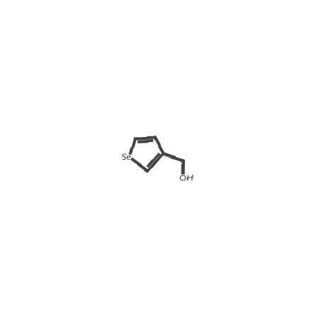 OCc1cc[se]c1